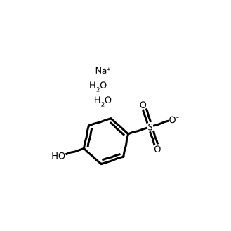 O.O.O=S(=O)([O-])c1ccc(O)cc1.[Na+]